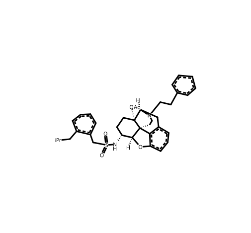 CC(=O)O[C@@]12CC[C@@H](NS(=O)(=O)Cc3ccccc3CC(C)C)[C@@H]3Oc4cccc5c4[C@@]31CCN(CCc1ccccc1)[C@@H]2C5